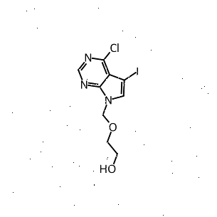 OCCOCn1cc(I)c2c(Cl)ncnc21